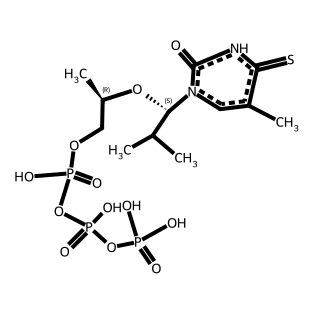 Cc1cn([C@@H](O[C@H](C)COP(=O)(O)OP(=O)(O)OP(=O)(O)O)C(C)C)c(=O)[nH]c1=S